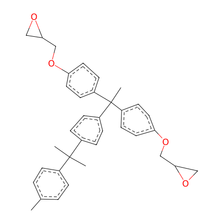 Cc1ccc(C(C)(C)c2ccc(C(C)(c3ccc(OCC4CO4)cc3)c3ccc(OCC4CO4)cc3)cc2)cc1